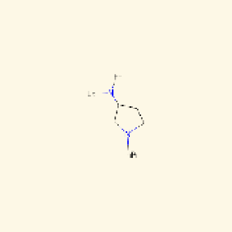 CCCN1CCC(N(CC)CC)C1